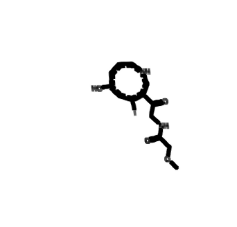 COCC(=O)NCC(=O)c1c[nH]cccc(O)cc1I